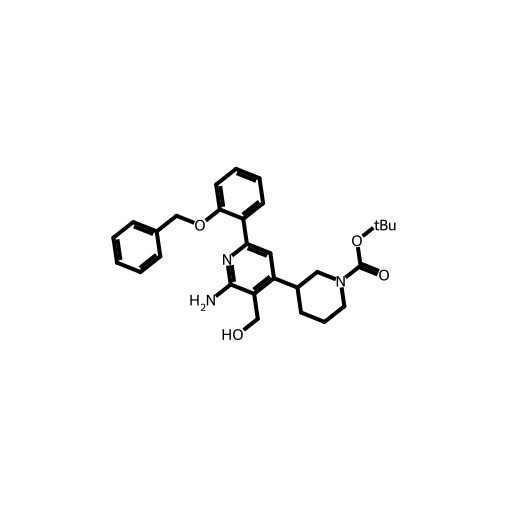 CC(C)(C)OC(=O)N1CCCC(c2cc(-c3ccccc3OCc3ccccc3)nc(N)c2CO)C1